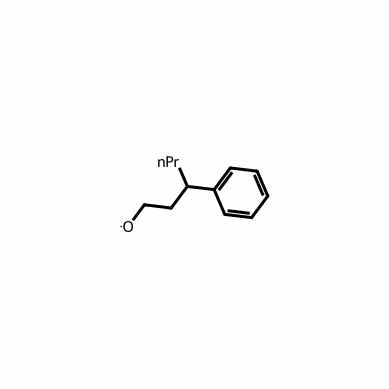 CCCC(CC[O])c1ccccc1